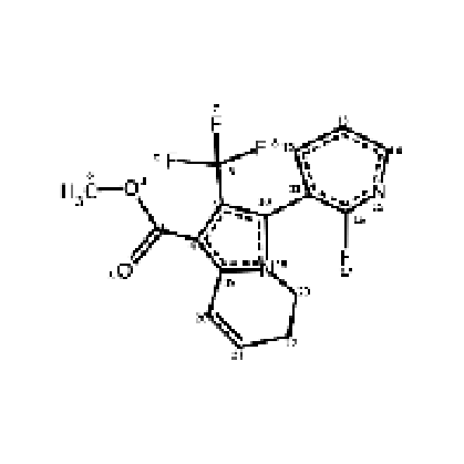 COC(=O)c1c(C(F)(F)F)c(-c2cccnc2F)n2c1C=CCC2